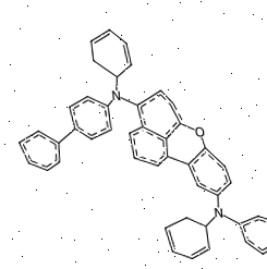 C1=CCC(N(c2ccccc2)c2ccc3c(c2)-c2cccc4c(N(c5ccc(-c6ccccc6)cc5)C5C=CC=CC5)ccc(c24)O3)C=C1